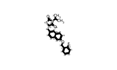 CC(C)N1C(=O)S[C@@H](Cc2ccc3cc(OCc4ccccc4F)ccc3c2)C1=O